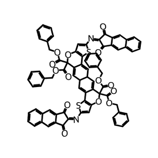 O=C(OCc1ccccc1)C1(C(=O)OCc2ccccc2)Oc2cc(N=c3c(=O)c4cc5ccccc5cc4c3=O)sc2C2=CC3C=C4C(=CC3C=C21)c1sc(N=c2c(=O)c3cc5ccccc5cc3c2=O)cc1OC4(C(=O)OCc1ccccc1)C(=O)OCc1ccccc1